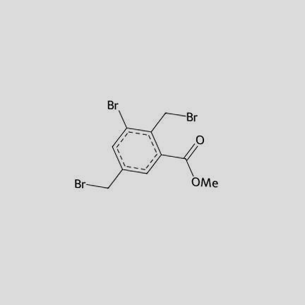 COC(=O)c1cc(CBr)cc(Br)c1CBr